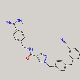 N#Cc1cccc(Cc2ccc(Cn3cc(C(=O)NCc4ccc(C(=N)N)cc4)cn3)cc2)c1